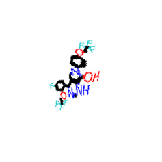 OC1C2=C(CN1c1ccc(OCC(F)(F)F)cc1)C(C1C=CC(F)=CC1OCC(F)(F)F)=NCN2